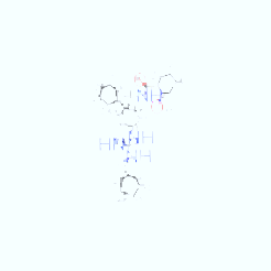 COc1ccccc1C(=O)NCC1(c2ccccc2)CCC(NC(=N)NCc2ccccc2)CC1